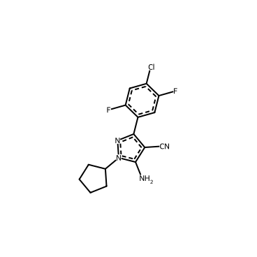 N#Cc1c(-c2cc(F)c(Cl)cc2F)nn(C2CCCC2)c1N